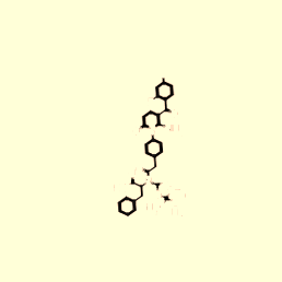 CC(C)(C)OC(=O)N(C(=O)Cc1ccc(-n2c(N)c(C(=O)c3ccc(F)cc3F)ccc2=O)cc1)C(Cc1ccccc1)C(=O)O